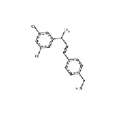 NCc1ccc(/C=C/C(c2cc(Cl)cc(Cl)c2)C(F)(F)F)cc1